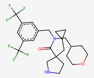 O=C(N(Cc1cc(C(F)(F)F)cc(C(F)(F)F)c1)CC1CCOCC1)C1(CC2CC2)CCNC1